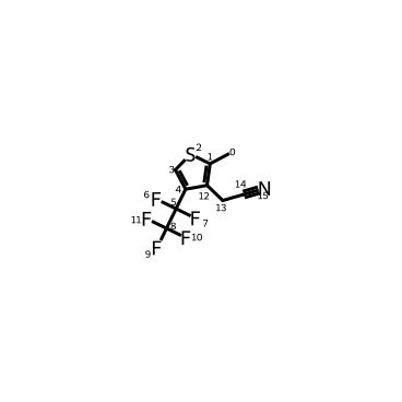 Cc1scc(C(F)(F)C(F)(F)F)c1CC#N